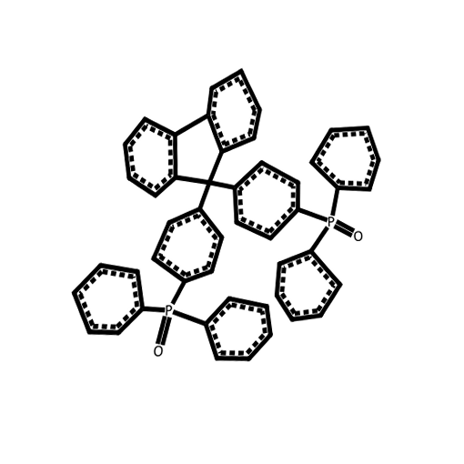 O=P(c1ccccc1)(c1ccccc1)c1ccc(C2(c3ccc(P(=O)(c4ccccc4)c4ccccc4)cc3)c3ccccc3-c3ccccc32)cc1